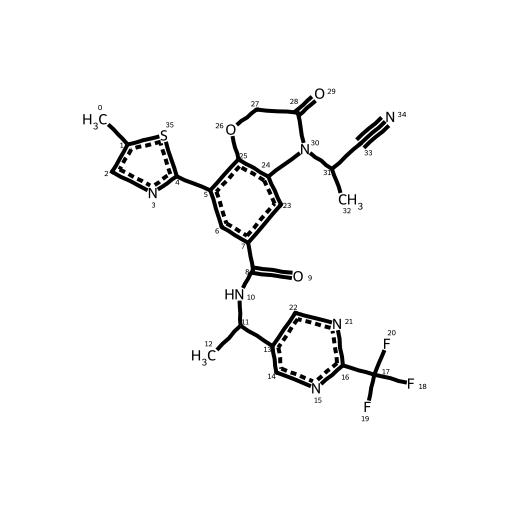 Cc1cnc(-c2cc(C(=O)NC(C)c3cnc(C(F)(F)F)nc3)cc3c2OCC(=O)N3C(C)C#N)s1